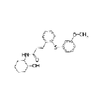 COc1cccc(Sc2ccccc2C=CC(=O)NC2CCCCC2O)c1